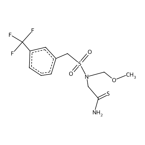 COCN(CC(N)=S)S(=O)(=O)Cc1cccc(C(F)(F)F)c1